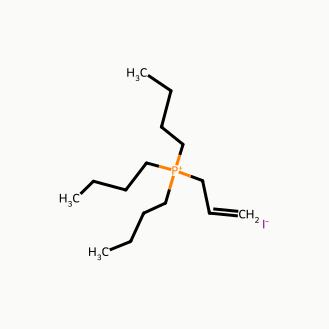 C=CC[P+](CCCC)(CCCC)CCCC.[I-]